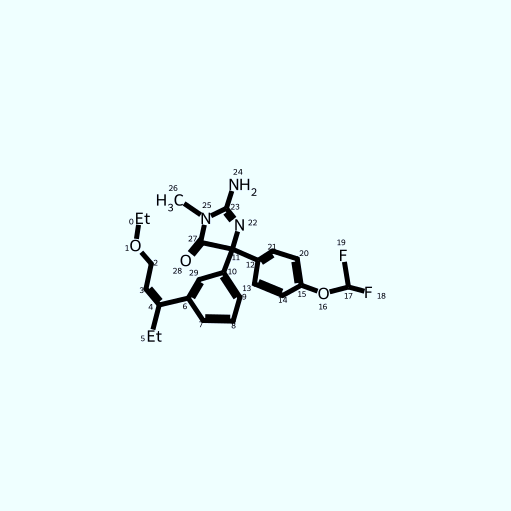 CCOC/C=C(/CC)c1cccc(C2(c3ccc(OC(F)F)cc3)N=C(N)N(C)C2=O)c1